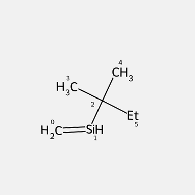 C=[SiH]C(C)(C)CC